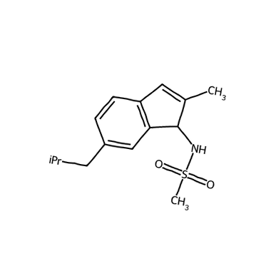 CC1=Cc2ccc(CC(C)C)cc2C1NS(C)(=O)=O